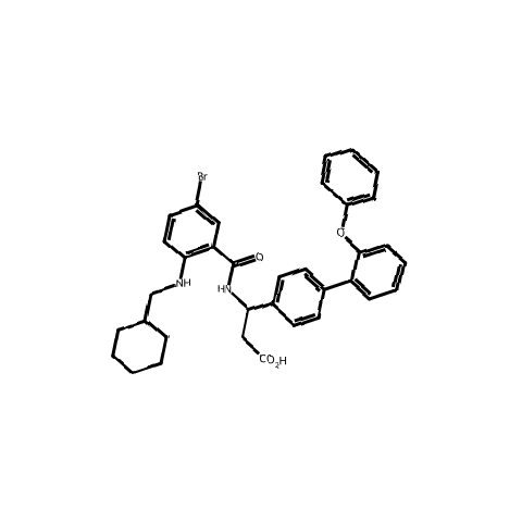 O=C(O)CC(NC(=O)c1cc(Br)ccc1NCC1CCCCC1)c1ccc(-c2ccccc2Oc2ccccc2)cc1